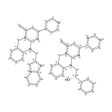 O=c1cc(-c2ccncc2)nc2n1Cc1ccccc1N2Cc1cn2ccccc2n1.O=c1cc(-c2ccncn2)nc2n1Cc1ccccc1N2C[C@@H](O)c1ccccc1